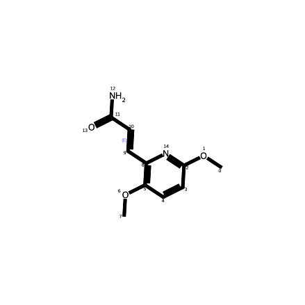 COc1ccc(OC)c(/C=C/C(N)=O)n1